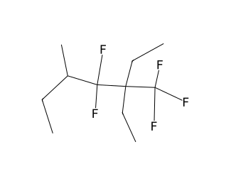 CCC(C)C(F)(F)C(CC)(CC)C(F)(F)F